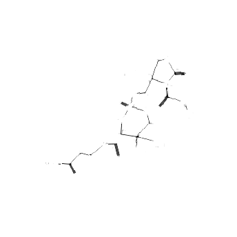 COC(=O)CCNC(=O)[C@@H]1OP(=O)(OC[C@@]2(C(=O)O)COC(=O)N2C(=O)OC(C)(C)C)OCC1(C)C